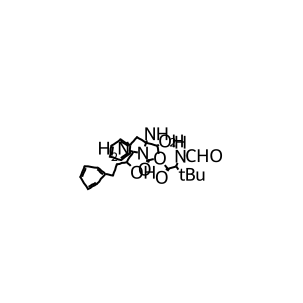 CC(O)C(N)(Cc1ccccc1)N(C(=O)OC(=O)C(NC=O)C(C)(C)C)C(N)C(O)CCc1ccccc1